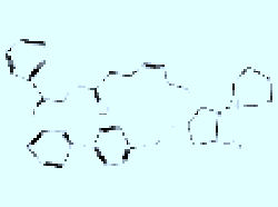 O=C(CC/C=C\CC[C@@H]1[C@@H](N2CCCCC2)[C@@H](O)C[C@@H]1OCc1ccc(-c2ccccc2)cc1)OCC(=O)c1ccccc1